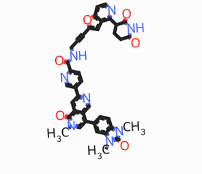 Cn1cc(-c2ccc3c(c2)n(C)c(=O)n3C)c2cnc(-c3ccc(C(=O)NCC#Cc4cc5c(C6CCC(=O)NC6=O)nccc5o4)nc3)cc2c1=O